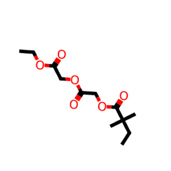 CCOC(=O)COC(=O)COC(=O)C(C)(C)CC